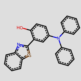 Oc1ccc(N(c2ccccc2)c2ccccc2)cc1-c1nc2ccccc2s1